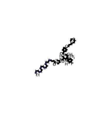 CC/C=C\C/C=C\C/C=C\C/C=C\C/C=C\C/C=C\CCC(=O)N1CC[C@@H](NC(=O)C2=CN(C(=O)c3ccc(OCCCN4CCOCC4)cc3)CC(C)(C)c3c2[nH]c2cc(F)ccc32)C1